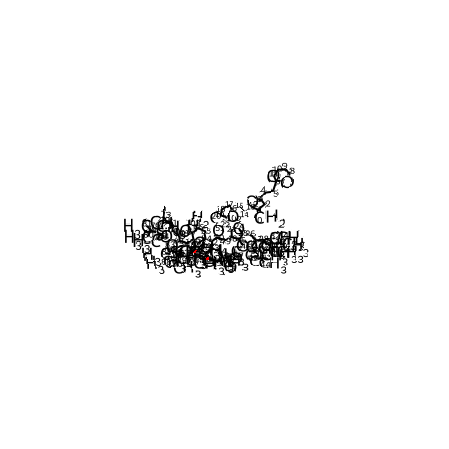 C=C1C[C@H](CCC2OCCCO2)O[C@H]1CC[C@H]1CCC(=C)[C@@H](C[C@@H]2O[C@H](CC(CO[Si](C)(C)C(C)(C)C)O[Si](C)(C)C(C)(C)C)C(OC)[C@H]2CC(=O)C(c2cc([SH](=O)=O)ccc2CC)[C@H]2CC[C@@H]3O[C@H]([C@H](/C=C/I)O[Si](C)(C)C(C)(C)C)C(O[Si](C)(C)C(C)(C)C)C(O[Si](C)(C)C(C)(C)C)C3O2)O1